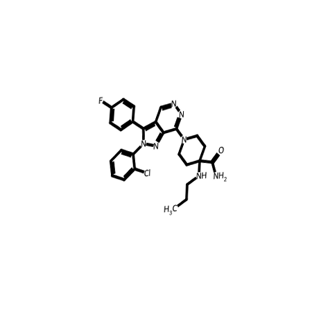 CCCNC1(C(N)=O)CCN(c2nncc3c(-c4ccc(F)cc4)n(-c4ccccc4Cl)nc23)CC1